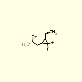 C=CC1C(C[C@H](C)O)C1(F)F